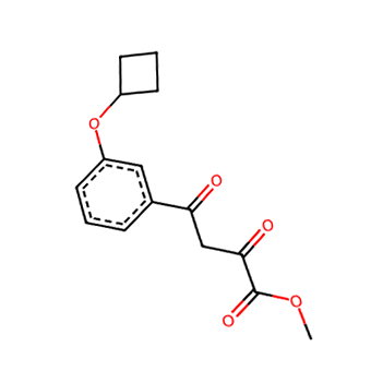 COC(=O)C(=O)CC(=O)c1cccc(OC2CCC2)c1